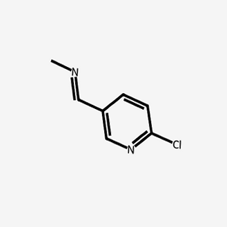 C/N=C/c1ccc(Cl)nc1